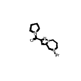 CC(C)N1CCCn2nc(C(=O)N3CCCC3)cc2C1